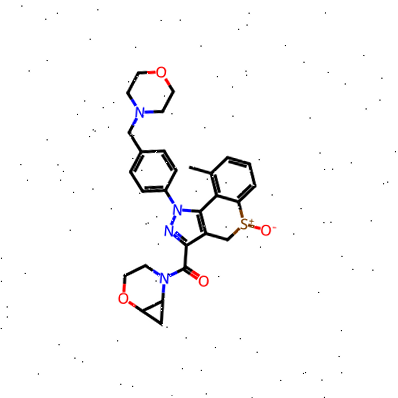 Cc1cccc2c1-c1c(c(C(=O)N3CCOC4CC43)nn1-c1ccc(CN3CCOCC3)cc1)C[S+]2[O-]